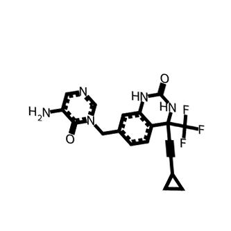 Nc1cncn(Cc2ccc3c(c2)NC(=O)NC3(C#CC2CC2)C(F)(F)F)c1=O